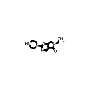 CCN1Cc2nc(N3CCNCC3)ncc2C1=O